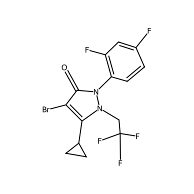 O=c1c(Br)c(C2CC2)n(CC(F)(F)F)n1-c1ccc(F)cc1F